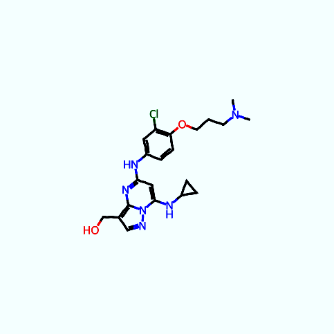 CN(C)CCCOc1ccc(Nc2cc(NC3CC3)n3ncc(CO)c3n2)cc1Cl